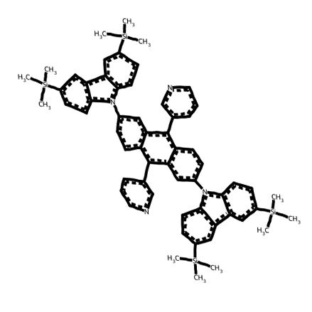 C[Si](C)(C)c1ccc2c(c1)c1cc([Si](C)(C)C)ccc1n2-c1ccc2c(-c3cccnc3)c3cc(-n4c5ccc([Si](C)(C)C)cc5c5cc([Si](C)(C)C)ccc54)ccc3c(-c3cccnc3)c2c1